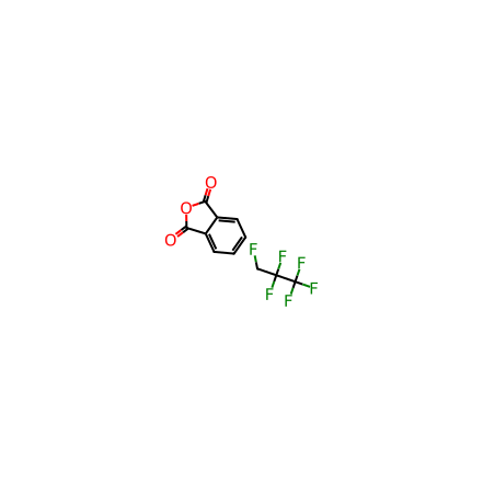 FCC(F)(F)C(F)(F)F.O=C1OC(=O)c2ccccc21